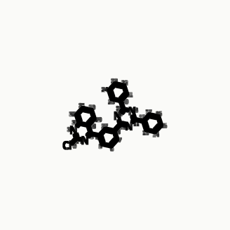 Clc1nc(-c2cccc(-c3nc(-c4ccccc4)nc(-c4ccccc4)n3)c2)c2ccccc2n1